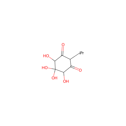 CC(C)C1C(=O)C(O)C(O)(O)C(O)C1=O